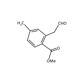 COC(=O)c1ccc(C)cc1CC=O